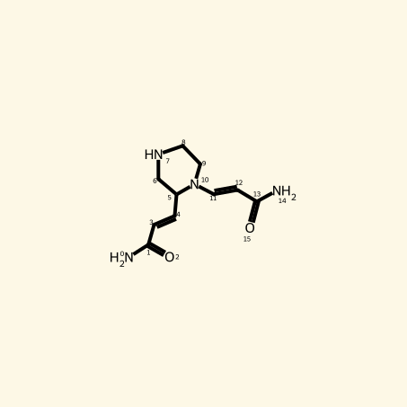 NC(=O)C=CC1CNCCN1C=CC(N)=O